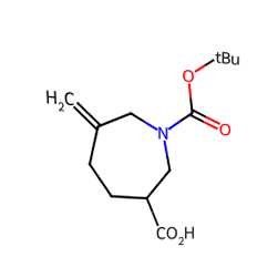 C=C1CCC(C(=O)O)CN(C(=O)OC(C)(C)C)C1